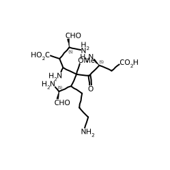 COC(C(=O)[C@@H](N)CC(=O)O)(C(N)C(C(=O)O)[C@H](N)C=O)C(CCCN)[C@H](N)C=O